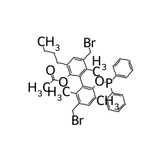 CCCCc1cc(CBr)c(C)c(-c2c(C)c(CBr)cc(C)c2OP(c2ccccc2)c2ccccc2)c1OC(C)=O